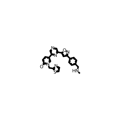 CNCc1ccc(-c2cc(-c3cncc(-c4ccc(=O)n(Cc5nccs5)c4)n3)on2)cc1